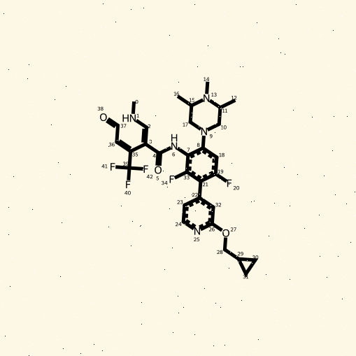 CN/C=C(C(=O)Nc1c(N2CC(C)N(C)C(C)C2)cc(F)c(-c2ccnc(OCC3CC3)c2)c1F)\C(=C/C=O)C(F)(F)F